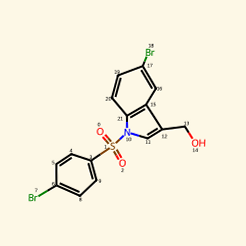 O=S(=O)(c1ccc(Br)cc1)n1cc(CO)c2cc(Br)ccc21